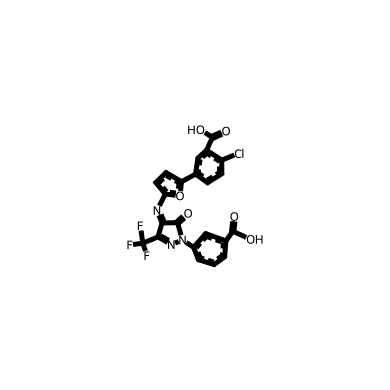 O=C(O)c1cccc(N2N=C(C(F)(F)F)/C(=N/c3ccc(-c4ccc(Cl)c(C(=O)O)c4)o3)C2=O)c1